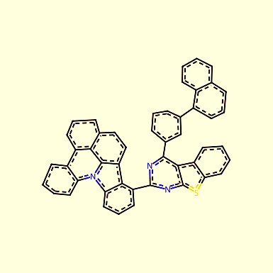 c1cc(-c2cccc3ccccc23)cc(-c2nc(-c3cccc4c3c3ccc5cccc6c7ccccc7n4c3c56)nc3sc4ccccc4c23)c1